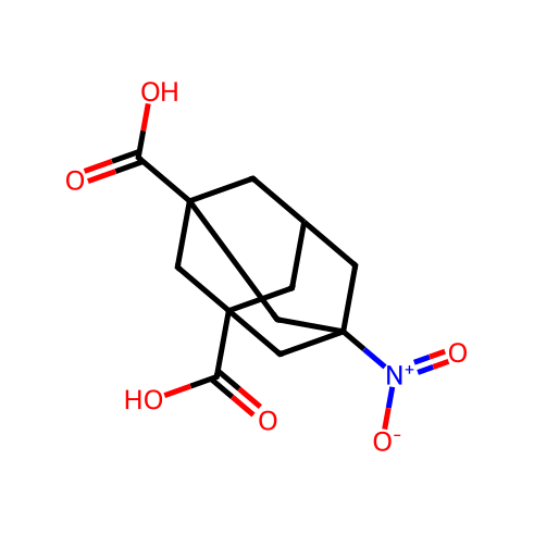 O=C(O)C12CC3CC(C(=O)O)(C1)CC([N+](=O)[O-])(C3)C2